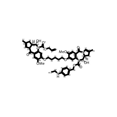 C=CCOC(=O)N1c2cc(OCCCCCOc3cc4c(cc3OC)C(=O)N3C=C(C)C[C@H]3[C@H](O)N4C(=O)OCc3ccc(NCI)cc3)c(OC)cc2C(=O)C2C=C(C)C[C@H]2[C@@H]1O